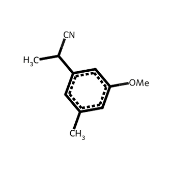 COc1cc(C)cc(C(C)C#N)c1